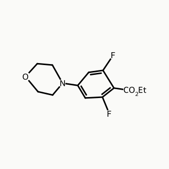 CCOC(=O)c1c(F)cc(N2CCOCC2)cc1F